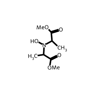 COC(=O)C(C)N(O)C(C)C(=O)OC